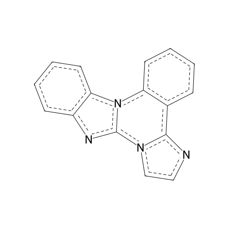 c1ccc2c(c1)nc1n3ccnc3c3ccccc3n21